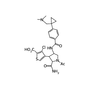 CC(=O)N1CC(NC(=O)c2ccc(C3(CN(C)C)CC3)cc2)C(c2csc(C(=O)O)c2Cl)C1C(N)=O